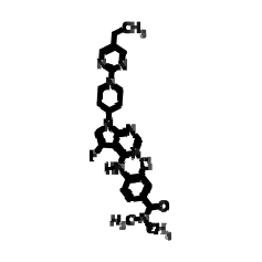 CCc1cnc(N2CCC(n3cc(F)c4c(Nc5ccc(C(=O)N(C)C)cc5Cl)ncnc43)CC2)nc1